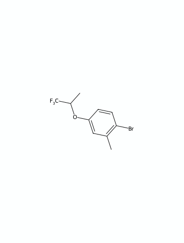 Cc1cc(OC(C)C(F)(F)F)ccc1Br